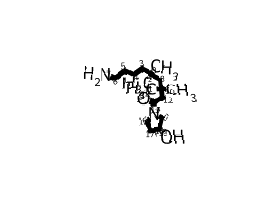 CC(C)(CCCCN)CC(C)(C)CC(=O)N1CC[C@@H](O)C1